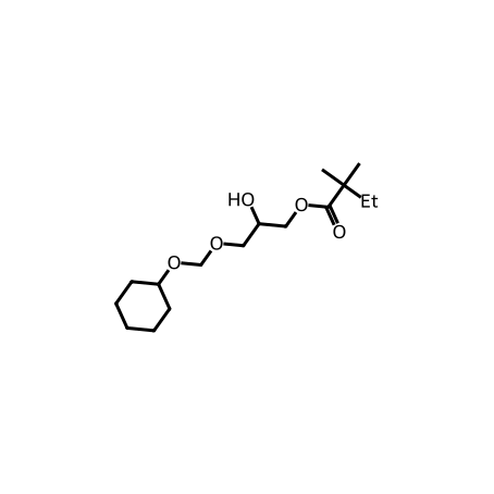 CCC(C)(C)C(=O)OCC(O)COCOC1CCCCC1